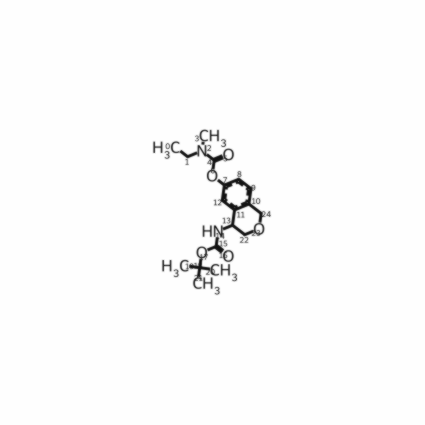 CCN(C)C(=O)Oc1ccc2c(c1)C(NC(=O)OC(C)(C)C)COC2